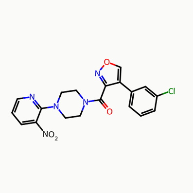 O=C(c1nocc1-c1cccc(Cl)c1)N1CCN(c2ncccc2[N+](=O)[O-])CC1